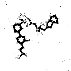 CN(CC(O)CNC(C)(C)CC1Cc2ccccc2C1)S(=O)(=O)c1cccc(-c2ccc(C=CC(=O)O)c(F)c2)c1